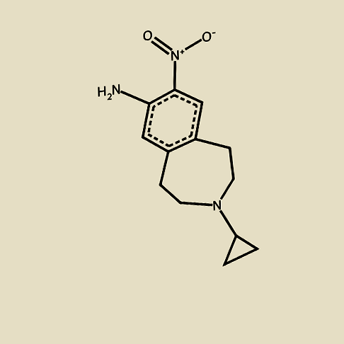 Nc1cc2c(cc1[N+](=O)[O-])CCN(C1CC1)CC2